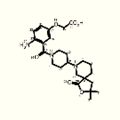 CC1(C)CC2(CCCN(C3CCN(C(=O)c4cc(OCC(=O)O)ccc4N)CC3)C2)C(=O)O1